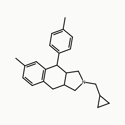 Cc1ccc(C2c3cc(C)ccc3CC3CN(CC4CC4)CC32)cc1